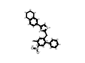 Cc1cc(Cc2nc(-c3ccc4c(c3)CCCC4)cs2)c(-c2ccccc2)cc1[N+](=O)[O-]